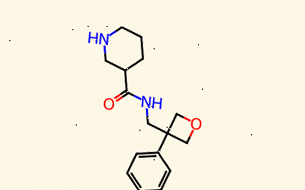 O=C(NCC1(c2ccccc2)COC1)C1CCCNC1